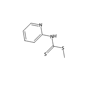 CSC(=S)Nc1ccccn1